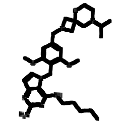 CCCCCNc1nc(N)nc2ccn(Cc3c(OC)cc(CN4CC5(C4)CN(C(C)C)CCO5)cc3OC)c12